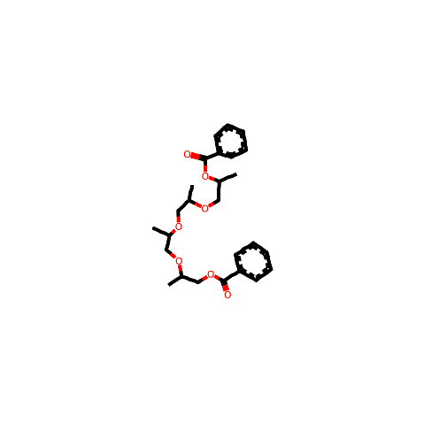 CC(COC(=O)c1ccccc1)OCC(C)OCC(C)OCC(C)OC(=O)c1ccccc1